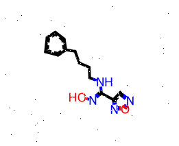 ON=C(NCCCCc1ccccc1)c1cnon1